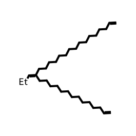 C=CCCCCCCCCCCCCCCC(=CCC)CCCCCCCCCCCCC=C